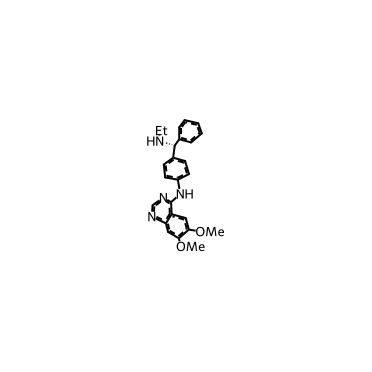 CCN[C@H](c1ccccc1)c1ccc(Nc2ncnc3cc(OC)c(OC)cc23)cc1